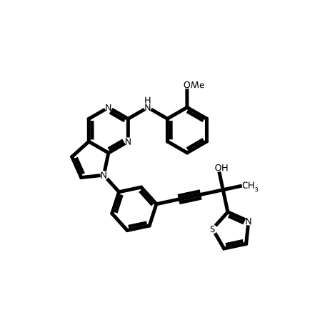 COc1ccccc1Nc1ncc2ccn(-c3cccc(C#CC(C)(O)c4nccs4)c3)c2n1